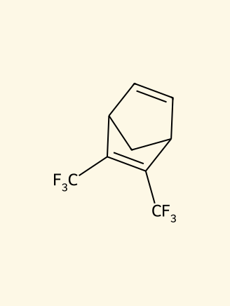 FC(F)(F)C1=C(C(F)(F)F)C2C=CC1C2